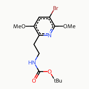 COc1cc(Br)c(OC)nc1CCNC(=O)OC(C)(C)C